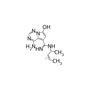 C/C=C\C(C)NC(=N)c1cc(O)n2ncnc(N)c12